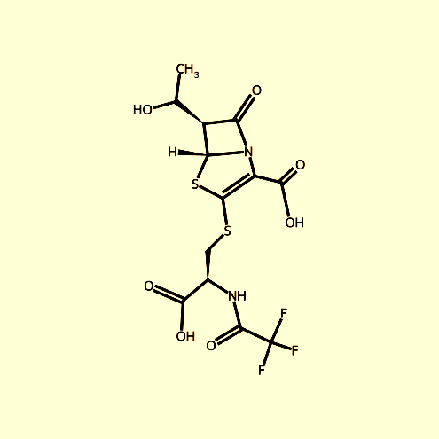 CC(O)[C@H]1C(=O)N2C(C(=O)O)=C(SC[C@@H](NC(=O)C(F)(F)F)C(=O)O)S[C@H]12